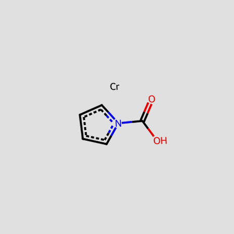 O=C(O)n1cccc1.[Cr]